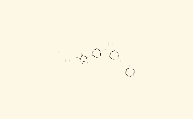 CC(C)(C)C(c1ccc(OCc2ccccn2)cc1)c1ccc(-c2nnn(C(C(=O)O)C(C)(C)C)n2)cc1